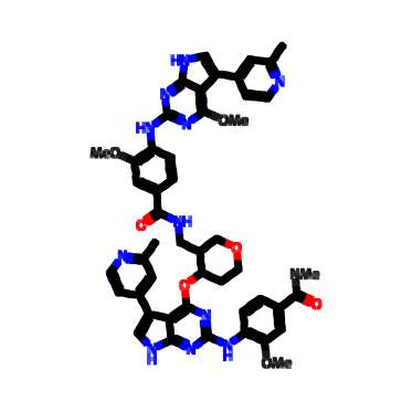 CNC(=O)c1ccc(Nc2nc(OC3CCOCC3CNC(=O)c3ccc(Nc4nc(OC)c5c(-c6ccnc(C)c6)c[nH]c5n4)c(OC)c3)c3c(-c4ccnc(C)c4)c[nH]c3n2)c(OC)c1